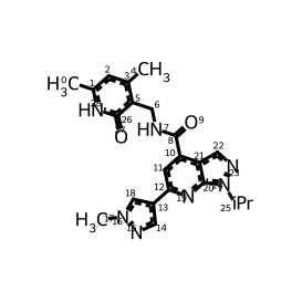 Cc1cc(C)c(CNC(=O)c2cc(-c3cnn(C)c3)nc3c2cnn3C(C)C)c(=O)[nH]1